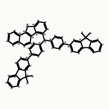 CC1(C)c2ccccc2-c2ccc(-c3ccc(N(c4ccc(-c5ccc6c(c5)C(C)(C)c5ccccc5-6)cc4)c4cccc5oc6c7ccccc7ccc6c45)cc3)cc21